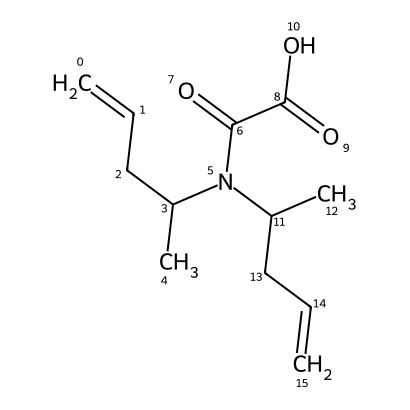 C=CCC(C)N(C(=O)C(=O)O)C(C)CC=C